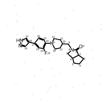 O=C1C2CCCC2CN1CC1CCN(c2ccc(-c3cn[nH]c3)cc2F)CC1